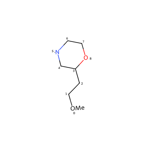 COCCC1C[N]CCO1